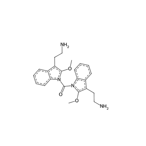 COc1c(CCN)c2ccccc2n1C(=O)n1c(OC)c(CCN)c2ccccc21